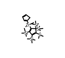 C[Si](C)(C)C1=C([Si](C)(C)C)C([Si](C)(C)C)([Si](C)(C)C)[C]([Zr]([CH3])([CH3])[C]2=CC=CC2)=C1[Si](C)(C)C